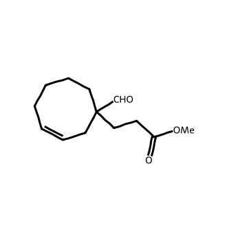 COC(=O)CCC1(C=O)C/C=C\CCCC1